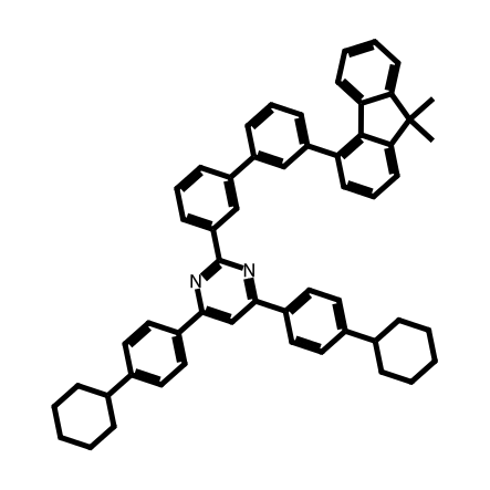 CC1(C)c2ccccc2-c2c(-c3cccc(-c4cccc(-c5nc(-c6ccc(C7CCCCC7)cc6)cc(-c6ccc(C7CCCCC7)cc6)n5)c4)c3)cccc21